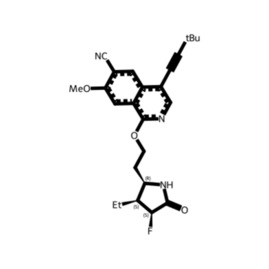 CC[C@@H]1[C@H](F)C(=O)N[C@@H]1CCOc1ncc(C#CC(C)(C)C)c2cc(C#N)c(OC)cc12